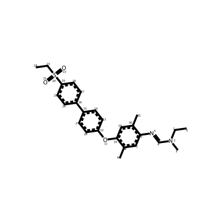 CCN(C)/C=N/c1cc(C)c(Oc2ccc(-c3ccc(S(=O)(=O)CC)cc3)cc2)cc1C